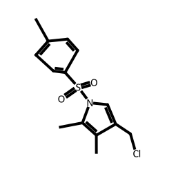 Cc1ccc(S(=O)(=O)n2cc(CCl)c(C)c2C)cc1